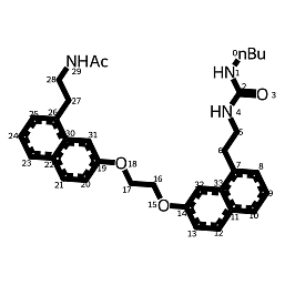 CCCCNC(=O)NCCc1cccc2ccc(OCCOc3ccc4cccc(CCNC(C)=O)c4c3)cc12